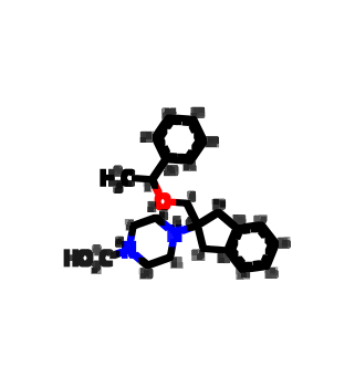 CC(OCC1(N2CCN(C(=O)O)CC2)Cc2ccccc2C1)c1ccccc1